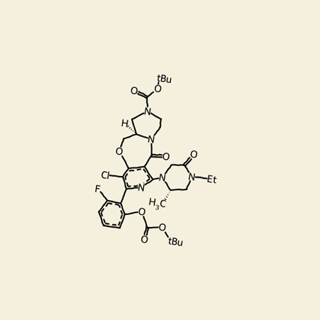 CCN1C[C@H](C)N(c2nc(-c3c(F)cccc3OC(=O)OC(C)(C)C)c(Cl)c3c2C(=O)N2CCN(C(=O)OC(C)(C)C)C[C@@H]2CO3)CC1=O